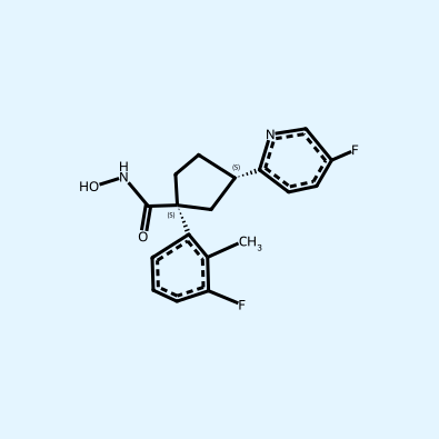 Cc1c(F)cccc1[C@]1(C(=O)NO)CC[C@H](c2ccc(F)cn2)C1